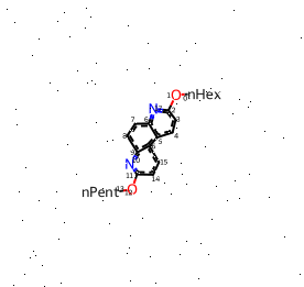 CCCCCCOc1ccc2c(ccc3nc(OCCCCC)ccc32)n1